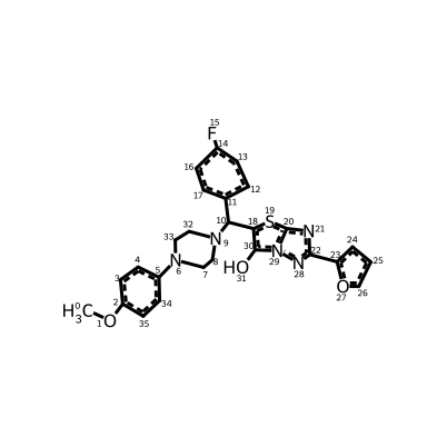 COc1ccc(N2CCN(C(c3ccc(F)cc3)c3sc4nc(-c5ccco5)nn4c3O)CC2)cc1